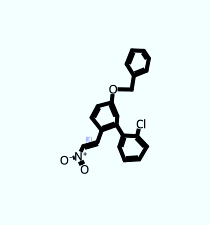 O=[N+]([O-])/C=C/c1ccc(OCc2ccccc2)cc1-c1ccccc1Cl